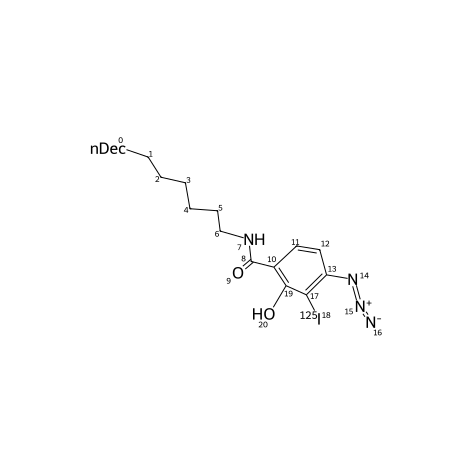 CCCCCCCCCCCCCCCCNC(=O)c1ccc(N=[N+]=[N-])c([125I])c1O